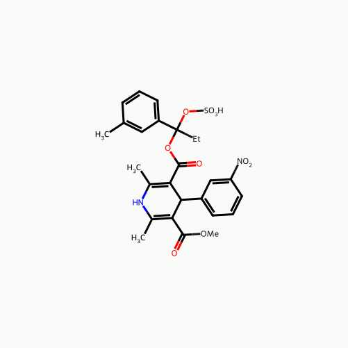 CCC(OC(=O)C1=C(C)NC(C)=C(C(=O)OC)C1c1cccc([N+](=O)[O-])c1)(OS(=O)(=O)O)c1cccc(C)c1